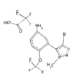 Cn1ncc(Br)c1-c1cc(N)ccc1OC(F)(F)F.O=C(O)C(F)(F)F